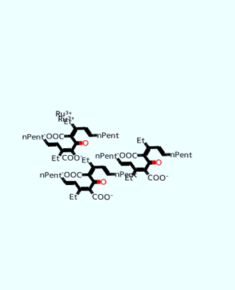 CCCCCC=CC(CC)=C(C(=O)[O-])C(=O)C(C(=O)[O-])=C(C=CCCCCC)CC.CCCCCC=CC(CC)=C(C(=O)[O-])C(=O)C(C(=O)[O-])=C(C=CCCCCC)CC.CCCCCC=CC(CC)=C(C(=O)[O-])C(=O)C(C(=O)[O-])=C(C=CCCCCC)CC.[Ru+3].[Ru+3]